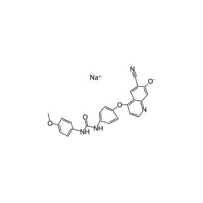 COc1ccc(NC(=O)Nc2ccc(Oc3ccnc4cc([O-])c(C#N)cc34)cc2)cc1.[Na+]